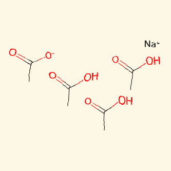 CC(=O)O.CC(=O)O.CC(=O)O.CC(=O)[O-].[Na+]